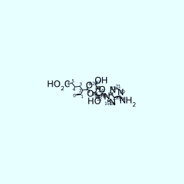 C=CC(CCCC(=O)O)C(=O)O[C@H]1[C@@H](O)[C@H](n2cnc3c(N)ncnc32)O[C@@H]1CO